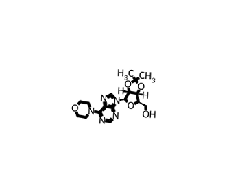 CC1(C)O[C@@H]2[C@H](O1)[C@@H](CO)O[C@H]2n1cnc2c(N3CCOCC3)ncnc21